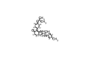 Cc1cnc(NC(O)c2cc3ccc(=O)n(-c4ccc(OC(C)C)cc4)c3[nH]2)s1